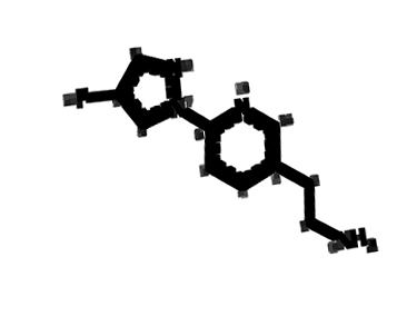 NCCc1ccc(-n2cc(F)cn2)nc1